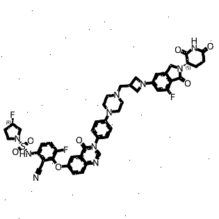 N#Cc1c(NS(=O)(=O)N2CC[C@@H](F)C2)ccc(F)c1Oc1ccc2ncn(-c3ccc(N4CCN(CC5CN(c6cc(F)c7c(c6)CN([C@H]6CCC(=O)NC6=O)C7=O)C5)CC4)cc3)c(=O)c2c1